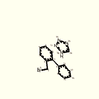 BrCc1ccccc1-c1ccccc1.c1nnn[nH]1